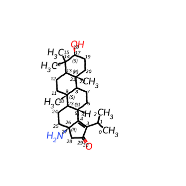 CC(C)C1=C2[C@H]3CCC4[C@@](C)(CCC5C(C)(C)[C@@H](O)CC[C@@]54C)C3CC[C@@]2(N)CC1=O